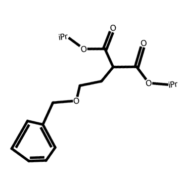 CC(C)OC(=O)C(CCOCc1ccccc1)C(=O)OC(C)C